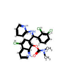 CN(C)C(=O)Oc1c(C(Nc2ccccn2)c2cccc(Cl)c2Cl)cc(Cl)c2cccnc12